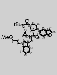 COCCCn1cc(CN(C(=O)[C@H]2CN(C(=O)OC(C)(C)C)CC[C@@H]2c2ccc3occc3c2)C2CC2)c2ccccc21